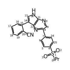 CC(C)S(=O)(=O)c1ccc(-c2cnc3[nH]cc(-c4ccccc4C#N)c3n2)cc1